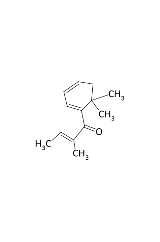 CC=C(C)C(=O)C1=CC=CCC1(C)C